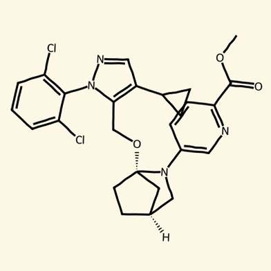 COC(=O)c1ccc(N2C[C@H]3CC[C@]2(OCc2c(C4CC4)cnn2-c2c(Cl)cccc2Cl)C3)cn1